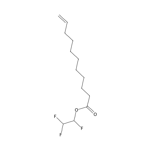 C=CCCCCCCCCC(=O)OC(F)C(F)F